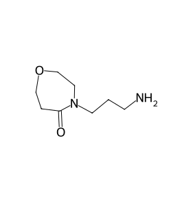 NCCCN1CCOCCC1=O